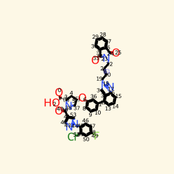 O=C(O)[C@@H]1C[C@H](Oc2cccc(-c3cccc4nn(C/C=C/CN5C(=O)c6ccccc6C5=O)cc34)c2)CN1C(=O)c1cnn(-c2ccc(F)cc2Cl)c1